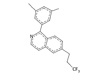 Cc1cc(C)cc(-c2nccc3cc(CCC(F)(F)F)ccc23)c1